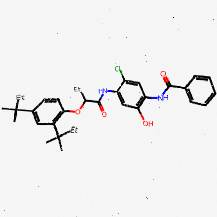 CCC(Oc1ccc(C(C)(C)CC)cc1C(C)(C)CC)C(=O)Nc1cc(O)c(NC(=O)c2ccccc2)cc1Cl